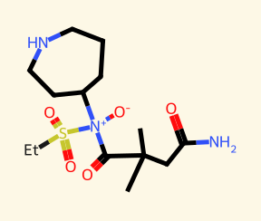 CCS(=O)(=O)[N+]([O-])(C(=O)C(C)(C)CC(N)=O)C1CCCNCC1